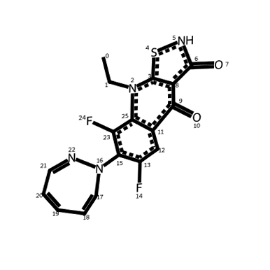 CCn1c2s[nH]c(=O)c2c(=O)c2cc(F)c(N3C=CC=CC=N3)c(F)c21